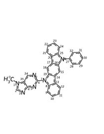 Cn1cnc2nc(-n3c4ccccc4c4cc5c(cc43)c3ccccc3n5-c3ccccc3)ncc21